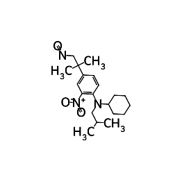 CC(C)CN(c1ccc(C(C)(C)CN=O)cc1[N+](=O)[O-])C1CCCCC1